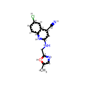 Cc1cnc(CNc2cc(C#N)c3cc(Cl)ccc3n2)o1